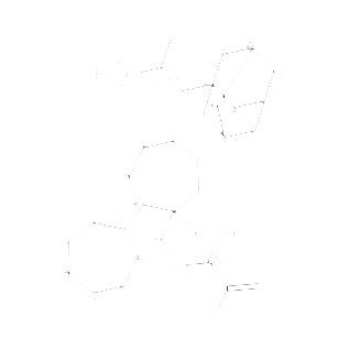 C=C(C)C(=O)OCC1(C)CCCCCC1C1CCCCCC1.CC(=CC12CC3CC(CC(C3)C1)C2)C(=O)O